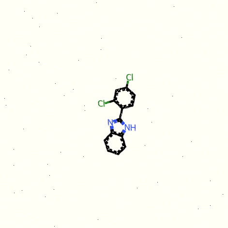 Clc1ccc(-c2nc3ccccc3[nH]2)c(Cl)c1